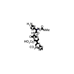 CNC(=O)O/N=C(\C(=O)N[C@@H]1C(=O)N2C(OC(=O)O)=C(C(CC(=O)O)Sc3nnn[nH]3)CS[C@@H]12)c1nsc(N)n1